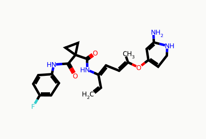 C=C/C(=C\C=C(/C)OC1=CCNC(N)=C1)NC(=O)C1(C(=O)Nc2ccc(F)cc2)CC1